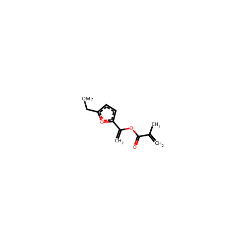 C=C(C)C(=O)OC(=C)c1ccc(COC)o1